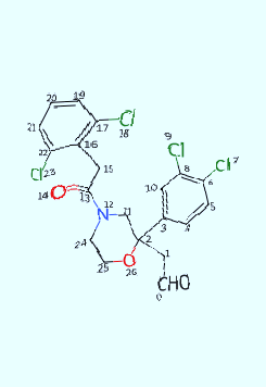 O=CCC1(c2ccc(Cl)c(Cl)c2)CN(C(=O)Cc2c(Cl)cccc2Cl)CCO1